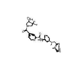 C[C@H](Cc1nncn1C)c1cccc(NC(=O)c2cc(C(=O)N3CC(O)C(F)(F)C3)ccn2)c1